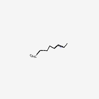 C/C=C/CCCC[C]=O